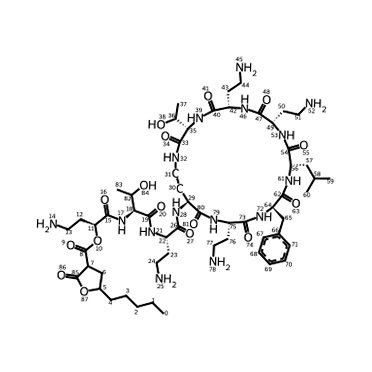 CCCCCC1CC(C(=O)O[C@@H](CCN)C(=O)N[C@H](C(=O)N[C@@H](CCN)C(=O)N[C@H]2CCNC(=O)[C@H](C(C)O)NC(=O)[C@H](CCN)NC(=O)[C@H](CCN)NC(=O)[C@H](CC(C)C)NC(=O)[C@@H](Cc3ccccc3)NC(=O)[C@H](CCN)NC2=O)C(C)O)C(=O)O1